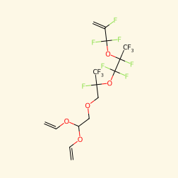 C=COC(COCC(F)(OC(F)(F)C(F)(OC(F)(F)C(=C)F)C(F)(F)F)C(F)(F)F)OC=C